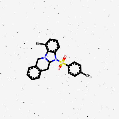 CCc1cccc2c1N1Cc3ccccc3CC1N2S(=O)(=O)c1ccc(C)cc1